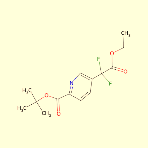 CCOC(=O)C(F)(F)c1ccc(C(=O)OC(C)(C)C)nc1